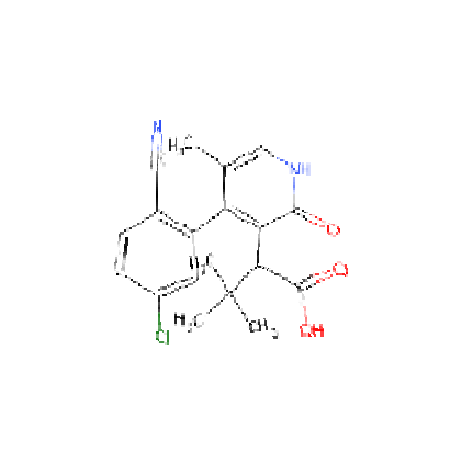 Cc1c[nH]c(=O)c(C(C(=O)O)C(C)(C)C)c1-c1cc(Cl)ccc1C#N